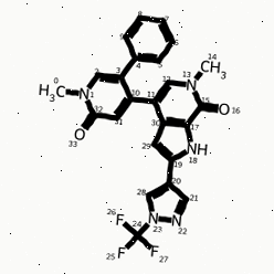 Cn1cc(-c2ccccc2)c(-c2cn(C)c(=O)c3[nH]c(-c4cnn(C(F)(F)F)c4)cc23)cc1=O